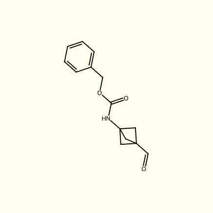 O=CC12CC(NC(=O)OCc3ccccc3)(C1)C2